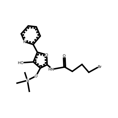 C[Si](C)(C)Oc1c(NC(=O)CCCBr)oc(-c2ccccn2)c1O